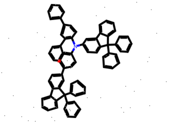 c1ccc(-c2ccc(N(c3ccc(-c4ccc5c(c4)C(c4ccccc4)(c4ccccc4)c4ccccc4-5)cc3)c3ccc4c(c3)-c3ccccc3C4(c3ccccc3)c3ccccc3)c(-c3ccccc3)c2)cc1